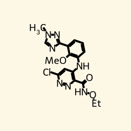 CCONC(=O)c1nnc(Cl)cc1Nc1cccc(-c2ncn(C)n2)c1OC